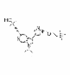 CCC(CC)n1cc(-c2cnn(COCC[Si](C)(C)C)c2)c2cc(C#CC(C)(C)O)ncc21